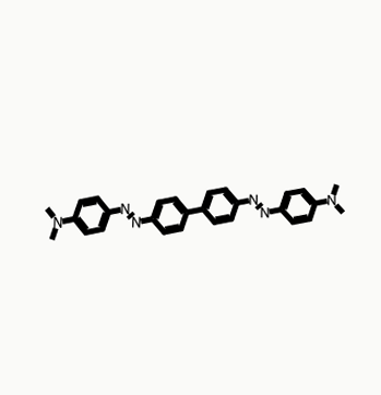 CN(C)c1ccc(N=Nc2ccc(-c3ccc(N=Nc4ccc(N(C)C)cc4)cc3)cc2)cc1